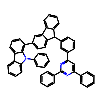 c1ccc(-c2cc(-c3cccc(C4c5ccccc5-c5cc(-c6cccc7c8ccccc8n(-c8ccccc8)c67)ccc54)c3)nc(-c3ccccc3)n2)cc1